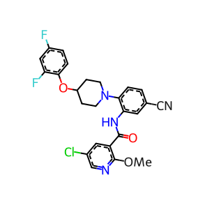 COc1ncc(Cl)cc1C(=O)Nc1cc(C#N)ccc1N1CCC(Oc2ccc(F)cc2F)CC1